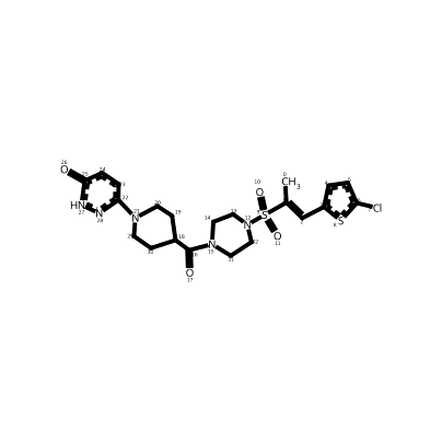 CC(=Cc1ccc(Cl)s1)S(=O)(=O)N1CCN(C(=O)C2CCN(c3ccc(=O)[nH]n3)CC2)CC1